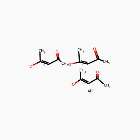 CC(=O)/C=C(\C)[O-].CC(=O)/C=C(\C)[O-].CC(=O)/C=C(\C)[O-].[Al+3]